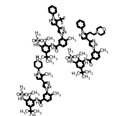 COc1c(NC(=O)c2ccc(C)c(-n3cc(-c4cnn(-c5ccccc5)c4C(F)(F)F)nn3)c2)cc(C(C)(C)C)cc1NS(C)(=O)=O.COc1c(NC(=O)c2ccc(C)c(-n3cc(-c4cnn(-c5ccccc5)c4CCN4CCOCC4)nn3)c2)cc(C(C)(C)C)cc1NS(C)(=O)=O.COc1c(NC(=O)c2ccc(C)c(-n3cc(-c4cnn(C5CCNCC5)c4C)nn3)c2)cc(C(C)(C)C)cc1NS(C)(=O)=O